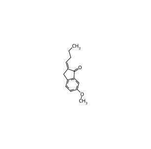 CCCC=C1Cc2ccc(OC)cc2C1=O